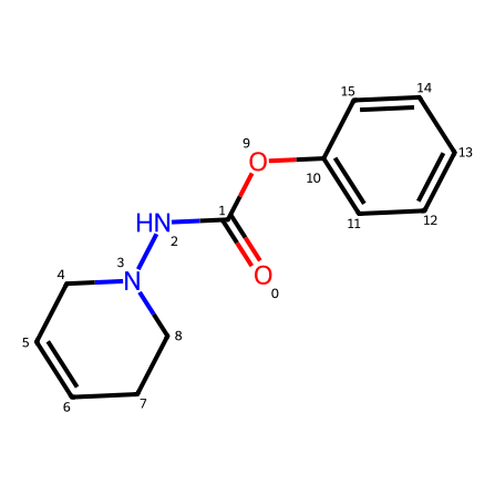 O=C(NN1CC=CCC1)Oc1ccccc1